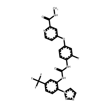 CNC(=O)c1cc(Oc2ccc(NC(=O)Nc3cc(C(F)(F)F)ccc3-n3ccnn3)c(F)c2)ccn1